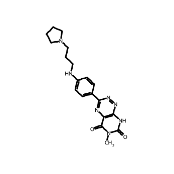 Cn1c(=O)[nH]c2nnc(-c3ccc(NCCCN4CCCC4)cc3)nc2c1=O